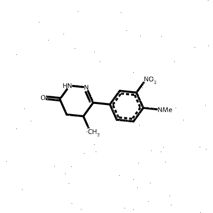 CNc1ccc(C2=NNC(=O)CC2C)cc1[N+](=O)[O-]